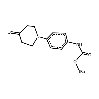 CC(C)(C)OC(=O)Nc1ccc(N2CCC(=O)CC2)cc1